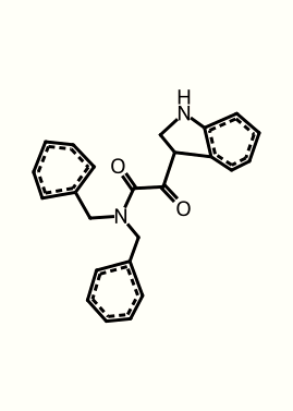 O=C(C(=O)N(Cc1ccccc1)Cc1ccccc1)C1CNc2ccccc21